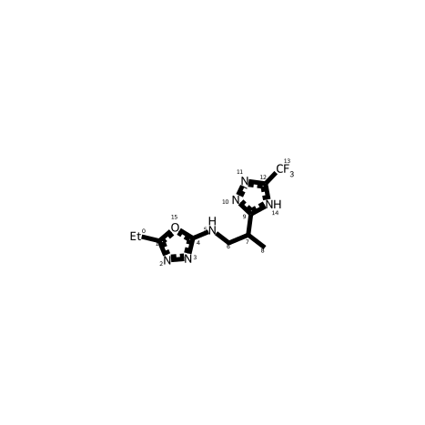 CCc1nnc(NCC(C)c2nnc(C(F)(F)F)[nH]2)o1